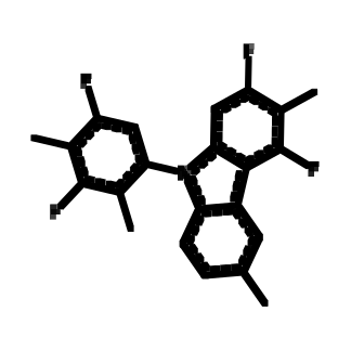 Cc1ccc2c(c1)c1c(F)c(C)c(F)cc1n2-c1cc(F)c(C)c(F)c1C